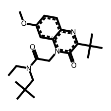 CCN(CC(C)(C)C)C(=O)Cn1c(=O)c(C(C)(C)C)nc2ccc(OC)cc21